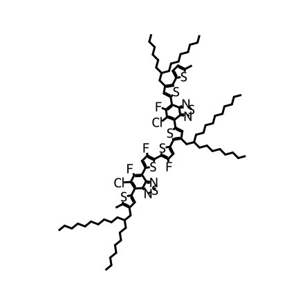 CCCCCCCCCCC(CCCCCCCC)Cc1cc(-c2c(Cl)c(F)c(-c3cc(F)c(-c4sc(-c5sc(-c6c(Cl)c(F)c(-c7cc(CC(CCCCCC)CCCCCCCC)c(-c8ccc(C)s8)s7)c7nsnc67)cc5CC(CCCCCCCC)CCCCCCCCCC)cc4F)s3)c3nsnc23)sc1C